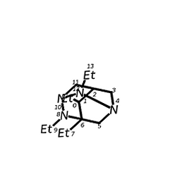 CCC1C2CN3CC1(CC)N(CC)N(C2)N3CC